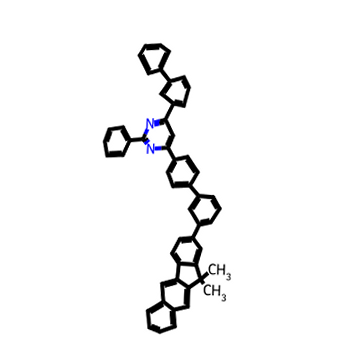 CC1(C)c2cc(-c3cccc(-c4ccc(-c5cc(-c6cccc(-c7ccccc7)c6)nc(-c6ccccc6)n5)cc4)c3)ccc2-c2cc3ccccc3cc21